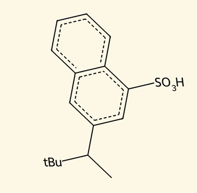 CC(c1cc(S(=O)(=O)O)c2ccccc2c1)C(C)(C)C